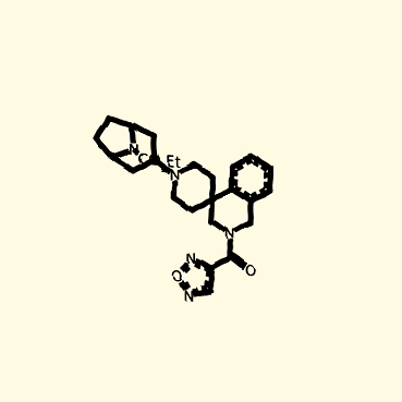 CCOC(=O)N1C2CCC1CC(N1CCC3(CC1)CN(C(=O)c1cnon1)Cc1ccccc13)C2